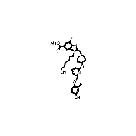 COC(=O)c1cc(F)c2nc(CN3CCC(Oc4cccc(COc5ccc(C#N)cc5F)n4)CC3)n(CCCCCCC#N)c2c1